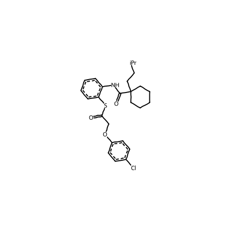 CC(C)CCC1(C(=O)Nc2ccccc2SC(=O)COc2ccc(Cl)cc2)CCCCC1